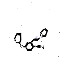 N#Cc1ccc(OC2CCCCC2)cc1/C=C/N1CCCC1